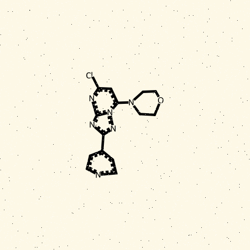 Clc1cc(N2CCOCC2)n2nc(-c3ccncc3)nc2n1